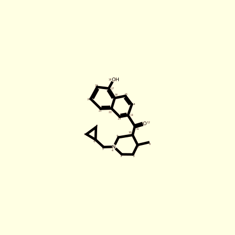 CC1CCN(CC2CC2)CC1C(=O)c1ccc2c(O)cccc2c1